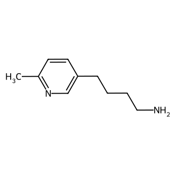 Cc1ccc(CCCCN)cn1